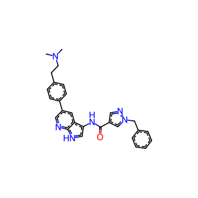 CN(C)CCc1ccc(-c2cnc3[nH]cc(NC(=O)c4cnn(Cc5ccccc5)c4)c3c2)cc1